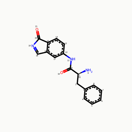 N[C@@H](Cc1ccccc1)C(=O)Nc1ccc2c(c1)C=NC2=O